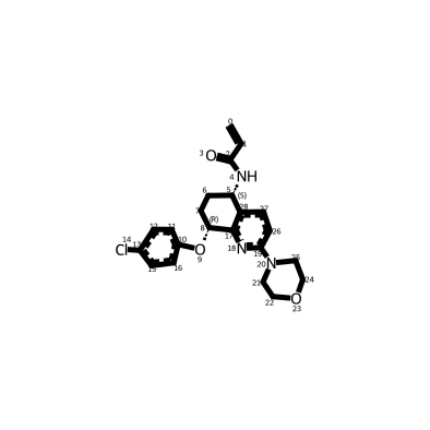 C=CC(=O)N[C@H]1CC[C@@H](Oc2ccc(Cl)cc2)c2nc(N3CCOCC3)ccc21